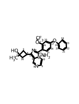 CC1(O)CC(C2=C3C=NC=C[N+]3(N)C(c3ccc(Oc4ccccc4)cc3OC(F)(F)F)=N2)C1